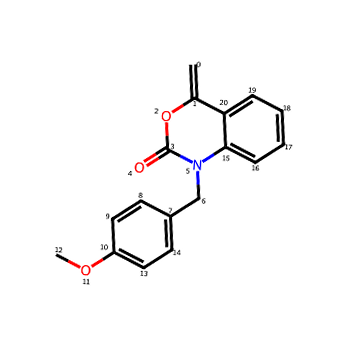 C=C1OC(=O)N(Cc2ccc(OC)cc2)c2ccccc21